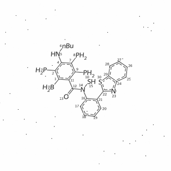 Bc1c(P)c(NCCCC)c(P)c(P)c1C(=O)N(S)c1ccccc1-c1nc2ccccc2s1